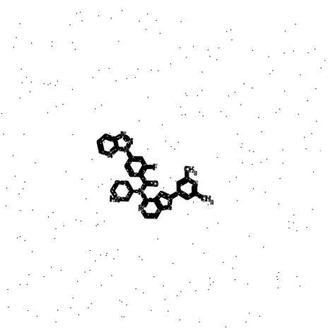 Cc1cc(-c2cc3c(N(C(=O)c4ccc(-n5nnc6cccnc65)cc4F)[C@@H]4CCCNC4)nccc3s2)cc(C)n1